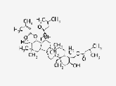 C=C[C@]12CC[C@H](O)[C@](C)(COC(=O)C=C(C)C)C1CC[C@]1(C)C2CC=C2C3CC(C)(C)[C@@H](O)[C@H](OC(=O)C=C(C)C)[C@]3(COC(=O)C=C(C)C)[C@H](O)C[C@]21C